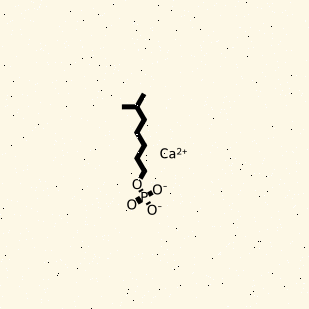 CC(C)CCCCCOP(=O)([O-])[O-].[Ca+2]